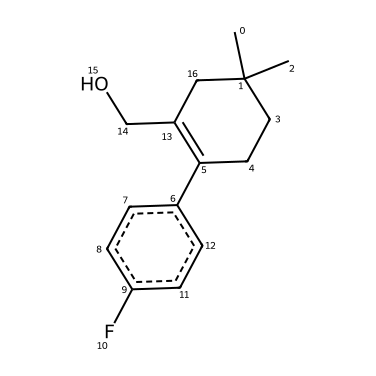 CC1(C)CCC(c2ccc(F)cc2)=C(CO)C1